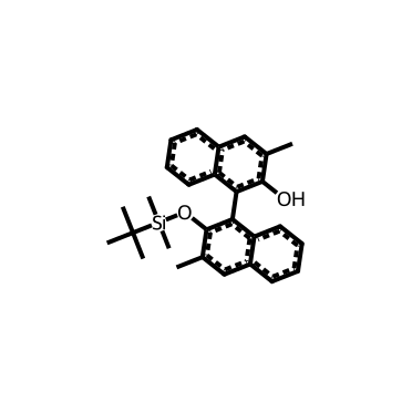 Cc1cc2ccccc2c(-c2c(O[Si](C)(C)C(C)(C)C)c(C)cc3ccccc23)c1O